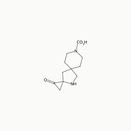 O=C(O)N1CCC2(CC1)CNC1(CC1=O)C2